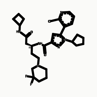 O=C(C[C@H](CCN1CCCC(F)(F)C1)NC(=O)c1cc(-c2cccnc2Cl)n(C2CCCC2)n1)NC1CCC1